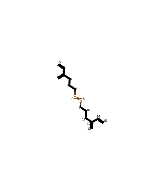 C=CC(=C)CCCSSCCCC(=C)C=C